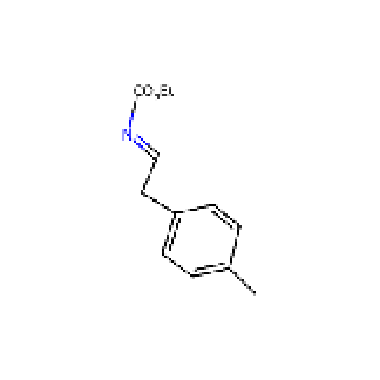 CCOC(=O)N=CCc1ccc(C)cc1